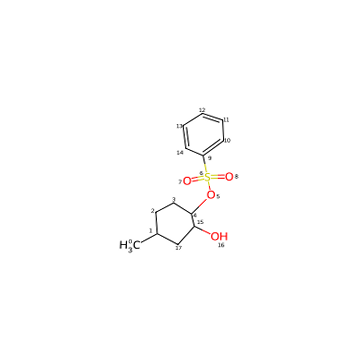 CC1CCC(OS(=O)(=O)c2ccccc2)C(O)C1